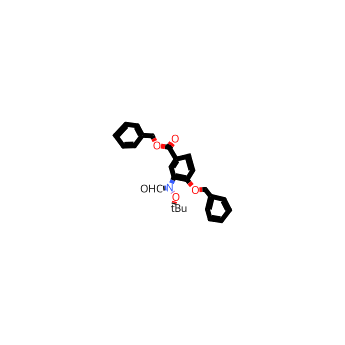 CC(C)(C)ON(C=O)c1cc(C(=O)OCc2ccccc2)ccc1OCc1ccccc1